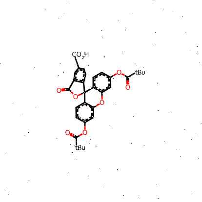 CC(C)(C)C(=O)Oc1ccc2c(c1)Oc1cc(OC(=O)C(C)(C)C)ccc1C21OC(=O)c2cc(C(=O)O)ccc21